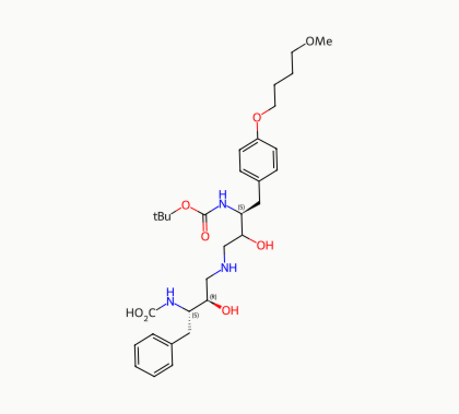 COCCCCOc1ccc(C[C@H](NC(=O)OC(C)(C)C)C(O)CNC[C@@H](O)[C@H](Cc2ccccc2)NC(=O)O)cc1